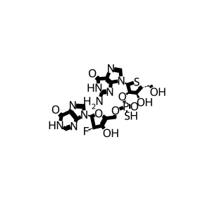 Nc1nc2c(ncn2[C@@H]2S[C@H](CO)[C@@H](O)[C@H]2O[P@](=O)(S)OCC2=C(O)[C@H](F)[C@H](n3cnc4c(=O)[nH]cnc43)O2)c(=O)[nH]1